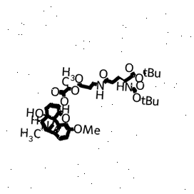 COc1ccc2c3c1O[C@H]1C(OC(=O)[C@H](C)OC(=O)CCNC(=O)CC[C@H](NC(=O)OC(C)(C)C)C(=O)OC(C)(C)C)=CC[C@@]4(O)[C@@H](C2)N(C)CC[C@]314